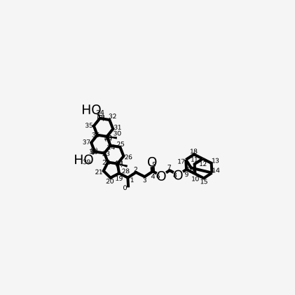 CC(CCC(=O)OCOC1C2CC3CC(C2)CC1C3)C1CCC2C3C(CC[C@]12C)[C@@]1(C)CC[C@@H](O)CC1C[C@H]3O